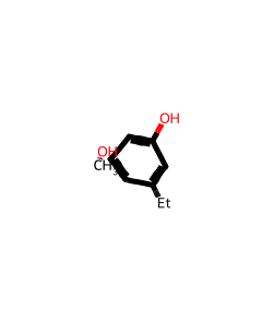 CCc1cccc(O)c1.CO